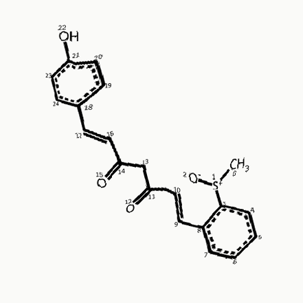 C[S+]([O-])c1ccccc1C=CC(=O)CC(=O)C=Cc1ccc(O)cc1